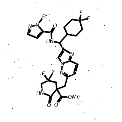 CCn1nccc1C(=O)NC(c1cn2nc(CC3(C(=O)OC)CC(F)(F)CNC3=O)ccc2n1)C1CCC(F)(F)CC1